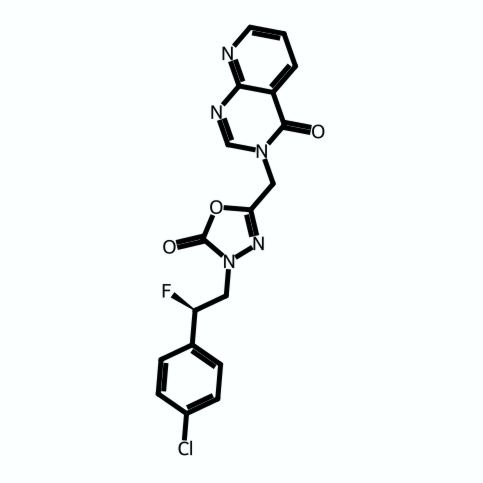 O=c1c2cccnc2ncn1Cc1nn(C[C@H](F)c2ccc(Cl)cc2)c(=O)o1